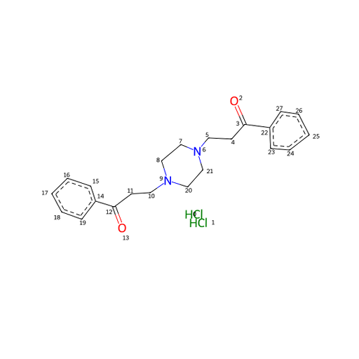 Cl.Cl.O=C(CCN1CCN(CCC(=O)c2ccccc2)CC1)c1ccccc1